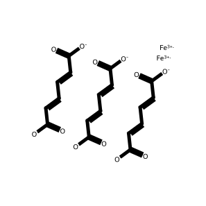 O=C([O-])/C=C/C=C/C(=O)[O-].O=C([O-])/C=C/C=C/C(=O)[O-].O=C([O-])/C=C/C=C/C(=O)[O-].[Fe+3].[Fe+3]